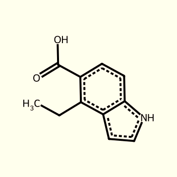 CCc1c(C(=O)O)ccc2[nH]ccc12